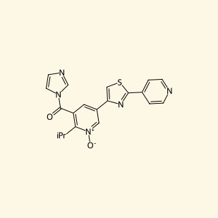 CC(C)c1c(C(=O)n2ccnc2)cc(-c2csc(-c3ccncc3)n2)c[n+]1[O-]